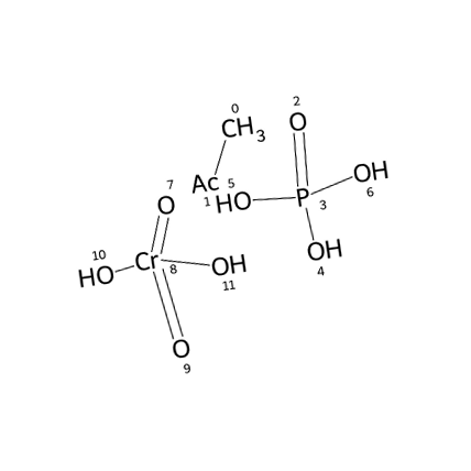 CC(C)=O.O=P(O)(O)O.[O]=[Cr](=[O])([OH])[OH]